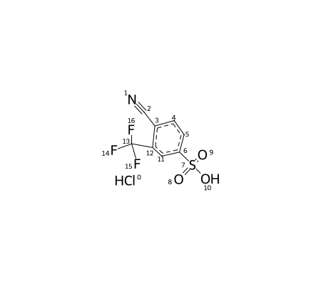 Cl.N#Cc1ccc(S(=O)(=O)O)cc1C(F)(F)F